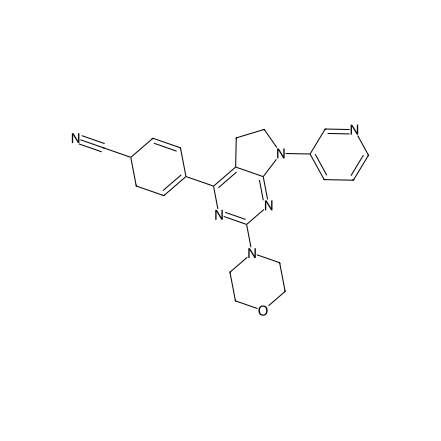 N#CC1C=CC(c2nc(N3CCOCC3)nc3c2CCN3c2cccnc2)=CC1